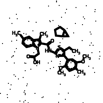 C1CC2CC2C1.CCc1sc(NC(=O)c2c(C)c3cc(C)ccc3n2CC(=O)O)nc1-c1cc(OC)c(C)cc1OC